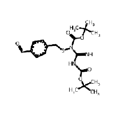 CC(C)(C)OC(=O)NC(=N)N(SCc1ccc(C=O)cc1)C(=O)OC(C)(C)C